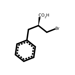 O=C(O)[C@@H](CBr)Cc1ccccc1